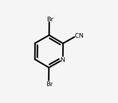 N#Cc1nc(Br)ccc1Br